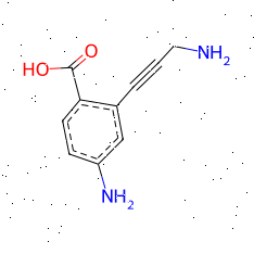 NCC#Cc1cc(N)ccc1C(=O)O